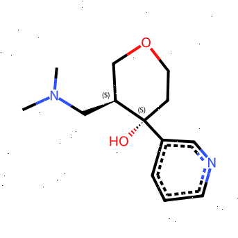 CN(C)C[C@H]1COCC[C@@]1(O)c1cccnc1